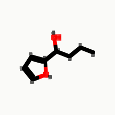 CCCC(O)c1ccco1